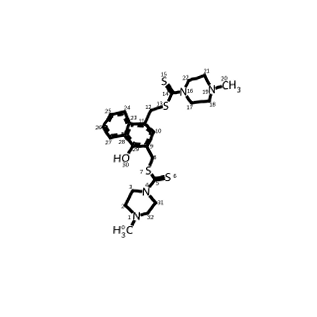 CN1CCN(C(=S)SCc2cc(CSC(=S)N3CCN(C)CC3)c3ccccc3c2O)CC1